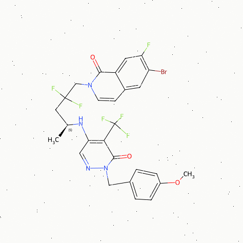 COc1ccc(Cn2ncc(N[C@@H](C)CC(F)(F)Cn3ccc4cc(Br)c(F)cc4c3=O)c(C(F)(F)F)c2=O)cc1